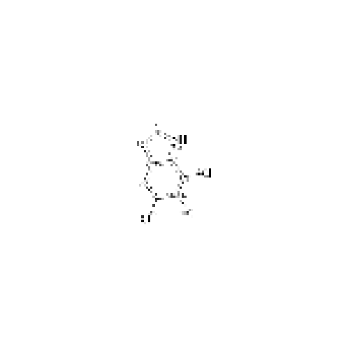 Clc1cc2cc[nH]c2c(Cl)c1Cl